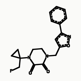 O=C1C(=O)N(C2(CF)CC2)CCN1Cc1cc(-c2ccccc2)no1